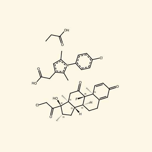 CCC(=O)O.C[C@H]1C[C@H]2[C@@H]3CCC4=CC(=O)C=C[C@]4(C)[C@@]3(F)C(=O)C[C@]2(C)[C@@]1(O)C(=O)CCl.Cc1cc(CC(=O)O)c(C)n1-c1ccc(Cl)cc1